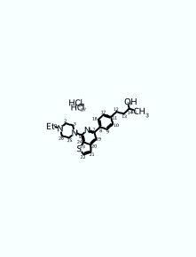 CCN1CCN(c2nc(-c3ccc(CCC(C)O)cc3)cc3ccsc23)CC1.Cl.Cl